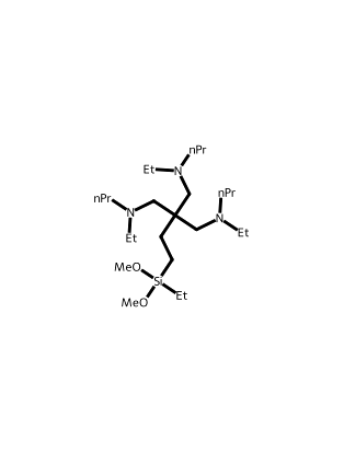 CCCN(CC)CC(CC[Si](CC)(OC)OC)(CN(CC)CCC)CN(CC)CCC